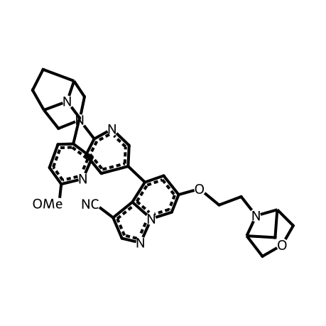 COc1ccc(CN2C3CCC2CN(c2ccc(-c4cc(OCCN5C6COCC5C6)cn5ncc(C#N)c45)cn2)C3)cn1